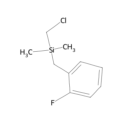 C[Si](C)(CCl)Cc1ccccc1F